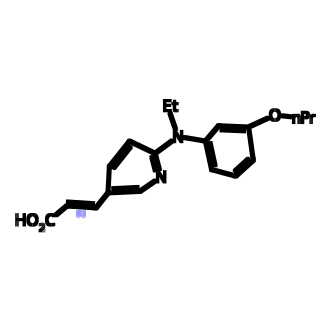 CCCOc1cccc(N(CC)c2ccc(/C=C/C(=O)O)cn2)c1